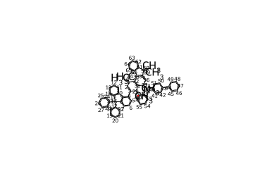 CC1C=C(c2cccc3c2-c2ccccc2C3(c2ccccc2)c2ccccc2)C2(C)C3=C1C1(C)C(=CC3(C)N(c3ccc(-c4ccccc4)cc3)c3ccccc32)C(C)(C)c2ccccc21